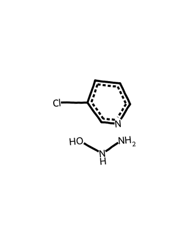 Clc1cccnc1.NNO